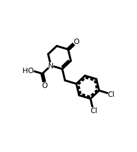 O=C1C=C(Cc2ccc(Cl)c(Cl)c2)N(C(=O)O)CC1